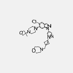 CC1(N2CCN(c3cc4c(cnn4-c4cnn(C56CC(CN7CCOCC7)(C5)C6)c4)cc3Cl)CC2)COC1